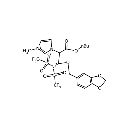 CCCCOC(=O)C(C(OCc1ccc2c(c1)OCO2)=[N+](S(=O)(=O)C(F)(F)F)S(=O)(=O)C(F)(F)F)n1cc[n+](C)c1